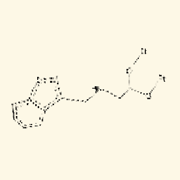 CCOC(CNCc1csc2ccccc12)OCC